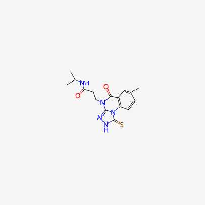 Cc1ccc2c(c1)c(=O)n(CCC(=O)NC(C)C)c1n[nH]c(=S)n21